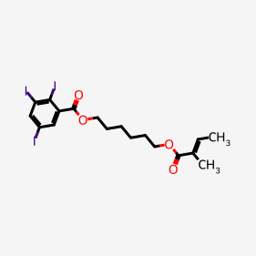 CC=C(C)C(=O)OCCCCCCOC(=O)c1cc(I)cc(I)c1I